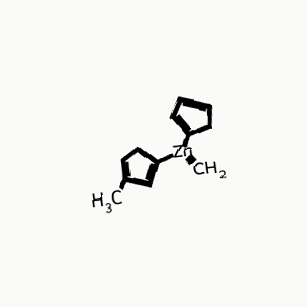 [CH2]=[Zn]([C]1=CC=CC1)[C]1=CC(C)=CC1